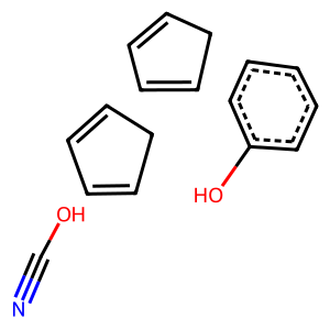 C1=CCC=C1.C1=CCC=C1.N#CO.Oc1ccccc1